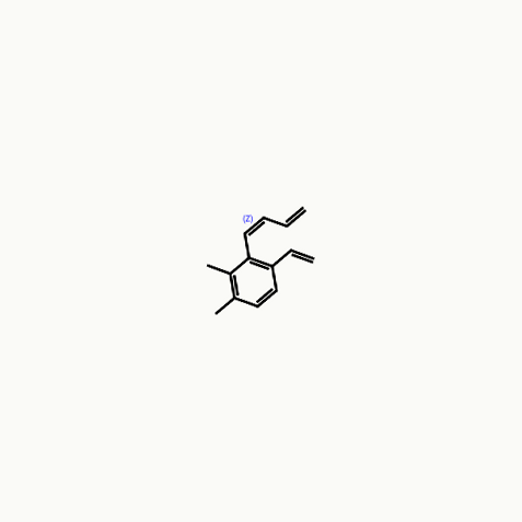 C=C/C=C\c1c(C=C)ccc(C)c1C